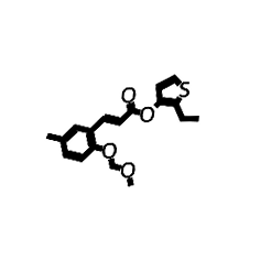 CCc1sccc1OC(=O)C=Cc1cc(C)ccc1OCOC